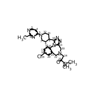 Cc1nccc(N2CCC(c3nnc4n3-c3ccc(Cl)cc3CN(CC(=O)N(C)C)C4)CC2)n1